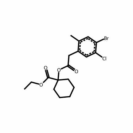 CCOC(=O)C1(OC(=O)Cc2cc(Cl)c(Br)cc2C)CCCCC1